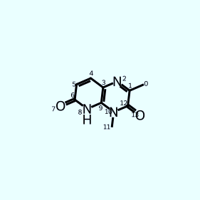 Cc1nc2ccc(=O)[nH]c2n(C)c1=O